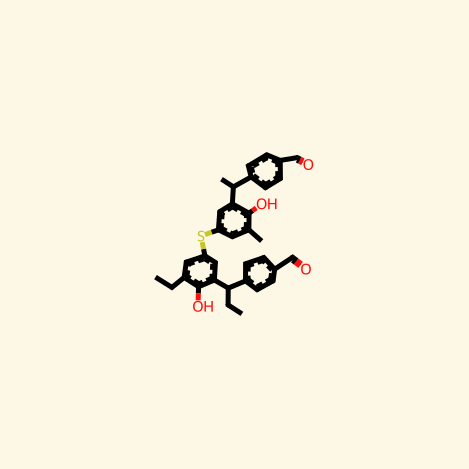 CCc1cc(Sc2cc(C)c(O)c(C(C)c3ccc(C=O)cc3)c2)cc(C(CC)c2ccc(C=O)cc2)c1O